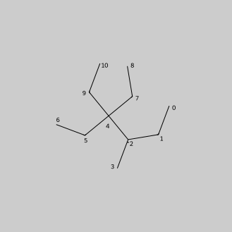 CC[C](C)C(CC)(CC)CC